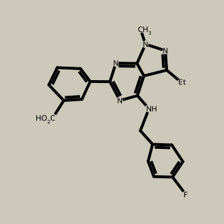 CCc1nn(C)c2nc(-c3cccc(C(=O)O)c3)nc(NCc3ccc(F)cc3)c12